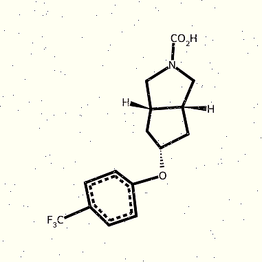 O=C(O)N1C[C@H]2C[C@@H](Oc3ccc(C(F)(F)F)cc3)C[C@H]2C1